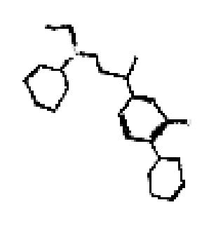 CCN(CCC(C)c1ccc(C2CCCCC2)c(Cl)c1)C1CCCCC1